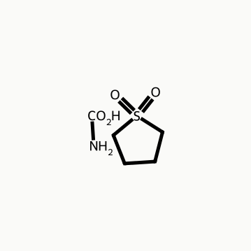 NC(=O)O.O=S1(=O)CCCC1